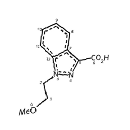 COCCn1nc(C(=O)O)c2ccccc21